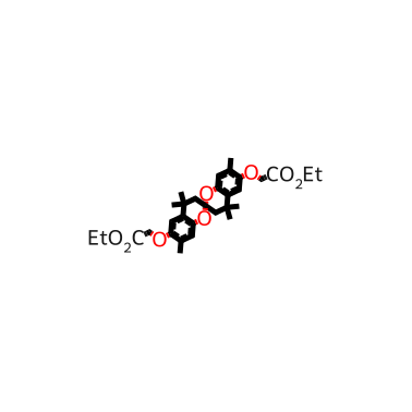 CCOC(=O)COc1cc2c(cc1C)OC1(CC2(C)C)CC(C)(C)c2cc(OCC(=O)OCC)c(C)cc2O1